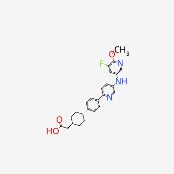 COc1ncc(Nc2ccc(-c3ccc([C@H]4CC[C@H](CC(=O)O)CC4)cc3)nc2)cc1F